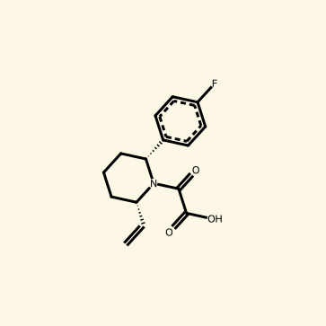 C=C[C@@H]1CCC[C@H](c2ccc(F)cc2)N1C(=O)C(=O)O